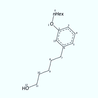 CCCCCCOc1cccc(CCCCCO)c1